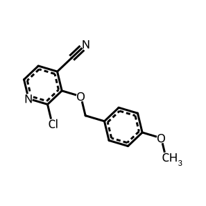 COc1ccc(COc2c(C#N)ccnc2Cl)cc1